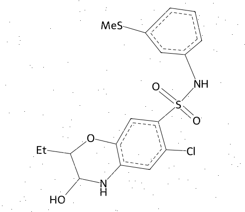 CCC1Oc2cc(S(=O)(=O)Nc3cccc(SC)c3)c(Cl)cc2NC1O